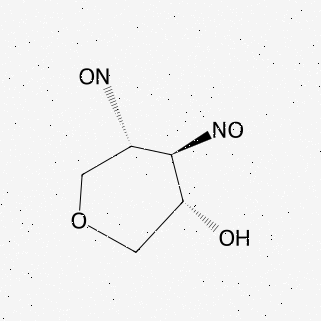 O=N[C@H]1[C@H](O)COC[C@@H]1N=O